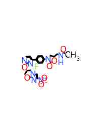 CC(=O)NCC1CN(c2ccc(-c3ccnc(OC4COc5nc([N+](=O)[O-])cn5C4)n3)c(F)c2)C(=O)O1